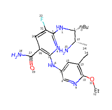 CCCC[C@@H](Nc1nc(Nc2cnc(OCC)c(C)c2)c(C(N)=O)cc1F)[C@H](C)N